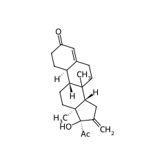 C=C1C[C@H]2C3(C)CCC4=CC(=O)CC[C@@H]4[C@H]3CC[C@]2(C)[C@@]1(O)C(C)=O